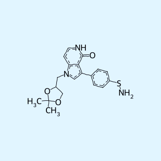 CC1(C)OCC(Cn2cc(-c3ccc(SN)cc3)c3c(=O)[nH]ccc32)O1